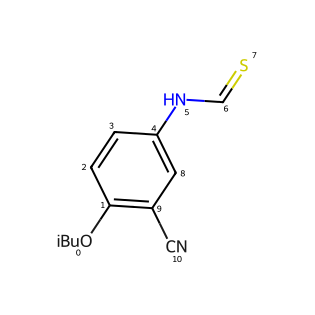 CC(C)COc1ccc(NC=S)cc1C#N